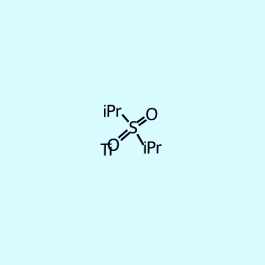 CC(C)S(=O)(=O)C(C)C.[Ti]